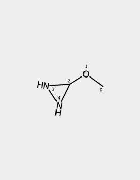 COC1NN1